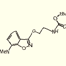 CNc1cccc2c(OCCNC(=O)OC(C)(C)C)noc12